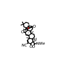 CNC(=O)[C@]1(C)C(=O)C(C#N)=C[C@]2(C)C3=CC(=O)[C@]45OC(=O)[C@@]6(CCC(C)(C)C[C@H]64)CC[C@@]5(C)[C@]3(C)CC[C@@H]12